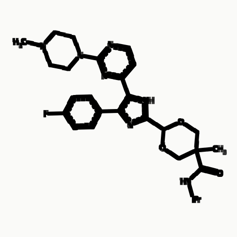 CC(C)NC(=O)C1(C)COC(c2nc(-c3ccc(F)cc3)c(-c3ccnc(N4CCN(C)CC4)n3)[nH]2)OC1